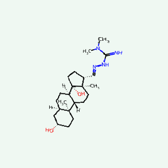 CN(C)C(=N)N/N=C/[C@H]1CC[C@]2(O)[C@@H]3CC[C@@H]4C[C@@H](O)CC[C@]4(C)[C@H]3CC[C@]12C